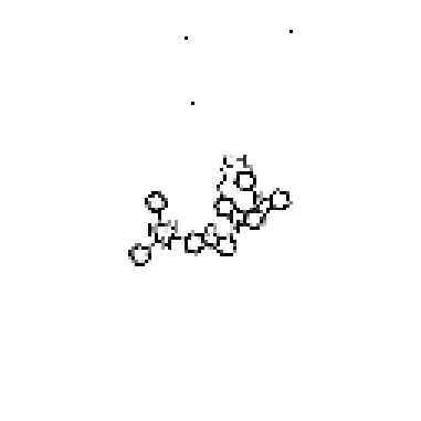 CCCCc1ccc2c(c1)c1c(ccc3c4ccccc4n(-c4ccccc4)c31)n2-c1cccc2c1oc1cc(-c3nc(-c4ccccc4)nc(-c4ccccc4)n3)ccc12